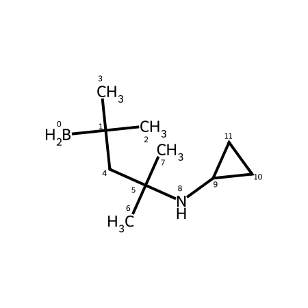 BC(C)(C)CC(C)(C)NC1CC1